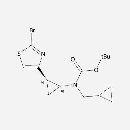 CC(C)(C)OC(=O)N(CC1CC1)[C@@H]1C[C@H]1c1csc(Br)n1